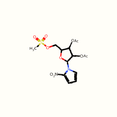 CC(=O)OC1C(COS(C)(=O)=O)OC(n2cccc2[N+](=O)[O-])C1OC(C)=O